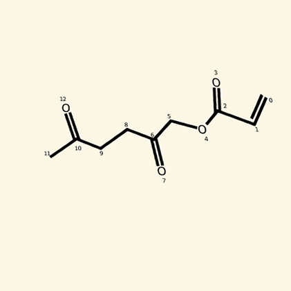 C=CC(=O)OCC(=O)CCC(C)=O